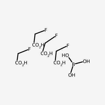 O=C(O)CF.O=C(O)CF.O=C(O)CF.O=C(O)CF.OB(O)O